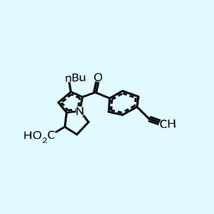 C#Cc1ccc(C(=O)c2c(CCCC)cc3n2CCC3C(=O)O)cc1